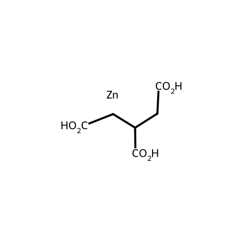 O=C(O)CC(CC(=O)O)C(=O)O.[Zn]